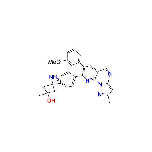 COc1cccc(-c2cc3cnc4cc(C)nn4c3nc2-c2ccc(C3(N)CC(C)(O)C3)cc2)c1